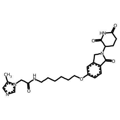 Cc1cncn1CC(=O)NCCCCCCOc1ccc2c(c1)CN(C1CCC(=O)NC1=O)C2=O